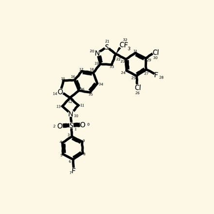 O=S(=O)(c1ccc(F)cc1)N1CC2(C1)OCc1cc(C3=NS[C@@](c4cc(Cl)c(F)c(Cl)c4)(C(F)(F)F)C3)ccc12